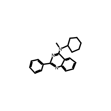 CN(c1nc(-c2ccccc2)nc2ccccc12)C1CCCCC1